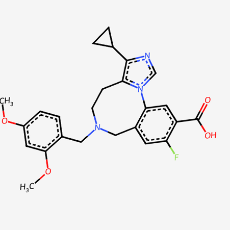 COc1ccc(CN2CCc3c(C4CC4)ncn3-c3cc(C(=O)O)c(F)cc3C2)c(OC)c1